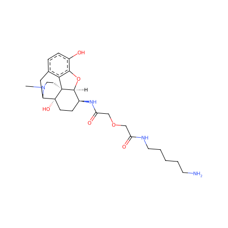 CN1CC[C@]23c4c5ccc(O)c4O[C@H]2[C@@H](NC(=O)COCC(=O)NCCCCCN)CC[C@@]3(O)C1C5